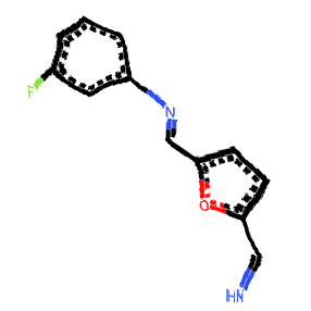 N=Cc1ccc(C=Nc2cccc(F)c2)o1